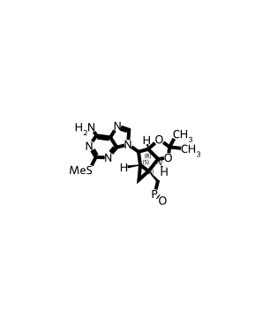 CSc1nc(N)c2ncn(C3[C@H]4OC(C)(C)O[C@H]4[C@]4(CP=O)C[C@H]34)c2n1